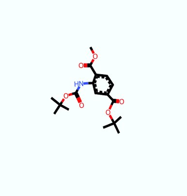 COC(=O)c1ccc(C(=O)OC(C)(C)C)cc1NC(=O)OC(C)(C)C